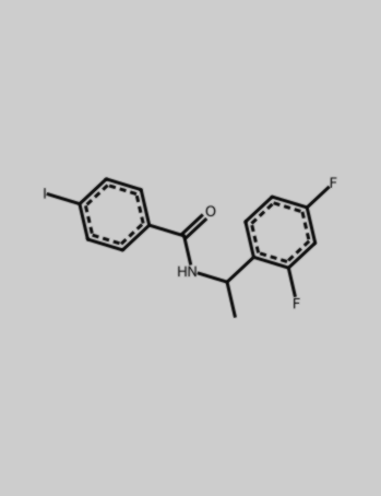 CC(NC(=O)c1ccc(I)cc1)c1ccc(F)cc1F